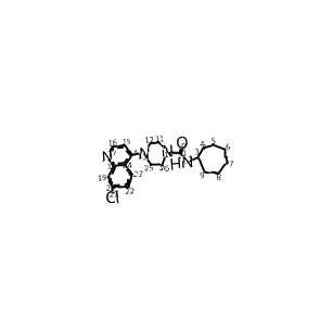 O=C(NC1CCCCCC1)N1CCN(c2ccnc3cc(Cl)ccc23)CC1